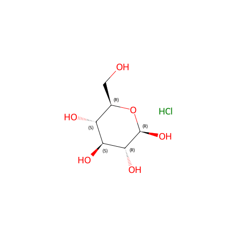 Cl.OC[C@H]1O[C@@H](O)[C@H](O)[C@@H](O)[C@@H]1O